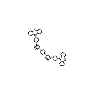 c1ccc2c(c1)Sc1ccccc1N2c1ccc(-n2cc(-c3ccc(-c4cn(-c5ccc(N6c7ccccc7Sc7ccccc76)cc5)nn4)cc3)nn2)cc1